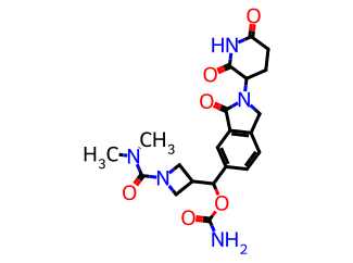 CN(C)C(=O)N1CC(C(OC(N)=O)c2ccc3c(c2)C(=O)N(C2CCC(=O)NC2=O)C3)C1